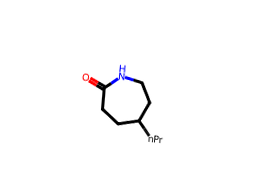 CCCC1CCNC(=O)CC1